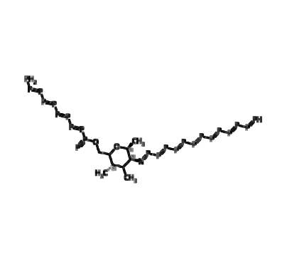 CC1[C@H](C)C(COP(#P)P=PP=PP=PP=PP)O[C@@H](C)[C@H]1N=PP=PP=PP=PP=PP=PP=P